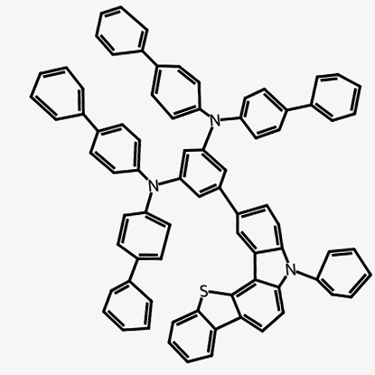 c1ccc(-c2ccc(N(c3ccc(-c4ccccc4)cc3)c3cc(-c4ccc5c(c4)c4c6sc7ccccc7c6ccc4n5-c4ccccc4)cc(N(c4ccc(-c5ccccc5)cc4)c4ccc(-c5ccccc5)cc4)c3)cc2)cc1